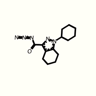 [N-]=[N+]=NC(=O)c1nn(C2CCCCC2)c2c1CCCC2